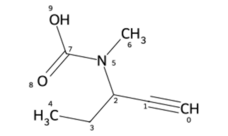 C#CC(CC)N(C)C(=O)O